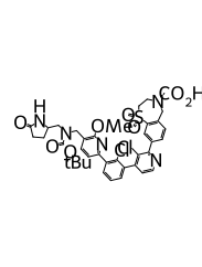 COc1nc(-c2cccc(-c3ccnc(-c4ccc5c(c4)S(=O)(=O)CCN(C(=O)O)C5)c3Cl)c2Cl)ccc1CN(CC1CCC(=O)N1)C(=O)OC(C)(C)C